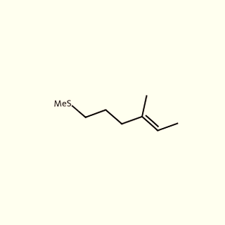 [CH2]SCCC/C(C)=C/C